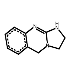 c1ccc2c(c1)CN1CCNC1=N2